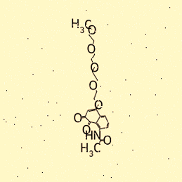 COCCOCCOCCOCCOC1=CC(=O)C(=O)c2c(NC(C)=O)cccc21